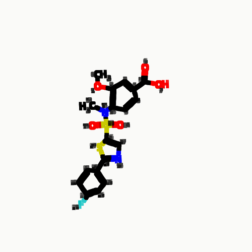 COc1cc(C(=O)O)ccc1N(C)S(=O)(=O)c1cnc(-c2ccc(F)cc2)s1